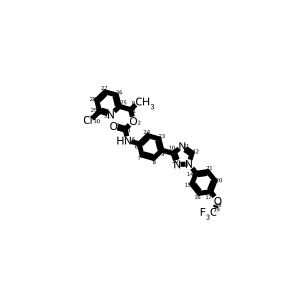 CC(OC(=O)Nc1ccc(-c2ncn(-c3ccc(OC(F)(F)F)cc3)n2)cc1)c1cccc(Cl)n1